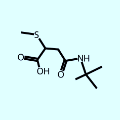 CSC(CC(=O)NC(C)(C)C)C(=O)O